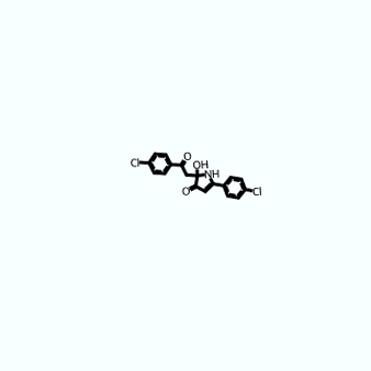 O=C(CC1(O)NC(c2ccc(Cl)cc2)=CC1=O)c1ccc(Cl)cc1